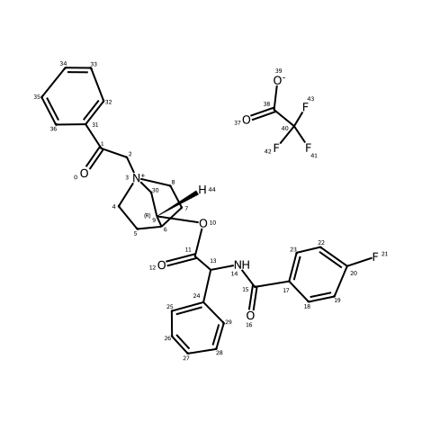 O=C(C[N+]12CCC(CC1)[C@@H](OC(=O)C(NC(=O)c1ccc(F)cc1)c1ccccc1)C2)c1ccccc1.O=C([O-])C(F)(F)F